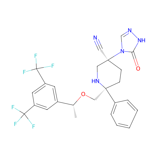 C[C@@H](OC[C@@]1(c2ccccc2)CC[C@](C#N)(n2cn[nH]c2=O)CN1)c1cc(C(F)(F)F)cc(C(F)(F)F)c1